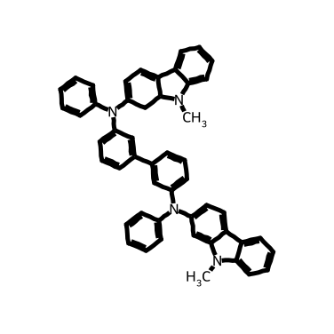 CN1c2ccccc2C2=CC=C(N(c3ccccc3)c3cccc(-c4cccc(N(c5ccccc5)c5ccc6c7ccccc7n(C)c6c5)c4)c3)CC21